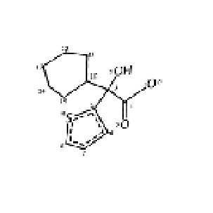 [O]C(=O)C(O)(c1cccs1)C1CCCCC1